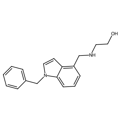 OCCNCc1cccc2c1ccn2Cc1ccccc1